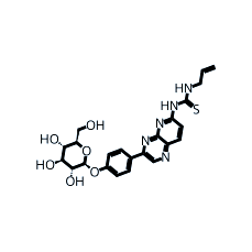 C=CCNC(=S)Nc1ccc2ncc(-c3ccc(O[C@@H]4O[C@H](CO)[C@@H](O)[C@H](O)[C@H]4O)cc3)nc2n1